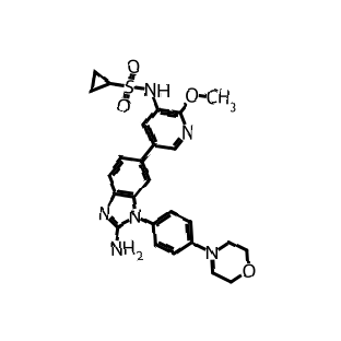 COc1ncc(-c2ccc3nc(N)n(-c4ccc(N5CCOCC5)cc4)c3c2)cc1NS(=O)(=O)C1CC1